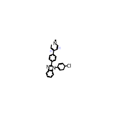 C=N/C=C\C(=C/C)c1ccc(-c2nc3ccccc3n2C2=CCC(Cl)C=C2)cc1